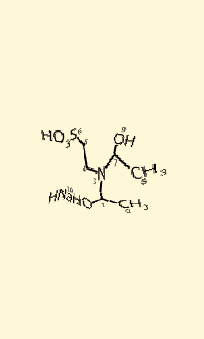 CC(O)N(CCS(=O)(=O)O)C(C)O.[NaH]